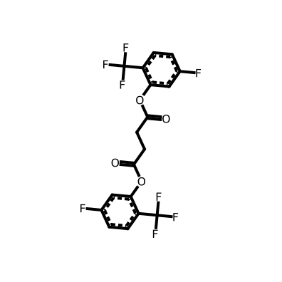 O=C(CCC(=O)Oc1cc(F)ccc1C(F)(F)F)Oc1cc(F)ccc1C(F)(F)F